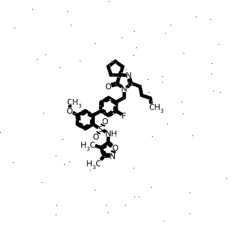 CCCCC1=NC2(CCCC2)C(=O)N1Cc1ccc(-c2cc(OC)ccc2S(=O)(=O)Nc2onc(C)c2C)cc1F